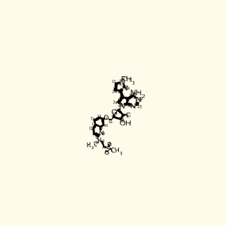 CN(CCS(C)(=O)=O)c1ccc2ccc(OC[C@H]3O[C@@H](n4cc(-c5ccn(C)n5)c5c(N)ncnc54)[C@@H](F)[C@@H]3O)cc2n1